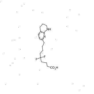 O=C(O)CCCC(F)(F)CCCCc1ccc2c(n1)NCCC2